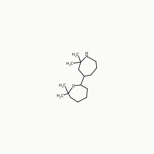 CC1(C)CC(C2CCCCC(C)(C)O2)CCCN1